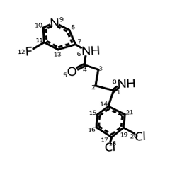 N=C(CCC(=O)Nc1cncc(F)c1)c1ccc(Cl)c(Cl)c1